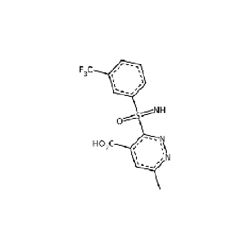 Cc1cc(C(=O)O)c(S(=N)(=O)c2cccc(C(F)(F)F)c2)nn1